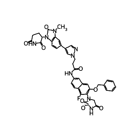 Cn1c(=O)n(C2CCC(=O)NC2=O)c2ccc(-c3cnn(CCC(=O)Nc4ccc5c(F)c(N6CC(=O)NS6(=O)=O)c(OCc6ccccc6)cc5c4)c3)cc21